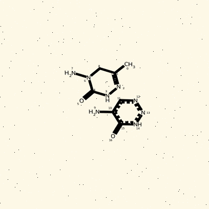 CC1=NNC(=O)N(N)C1.Nc1cnn[nH]c1=O